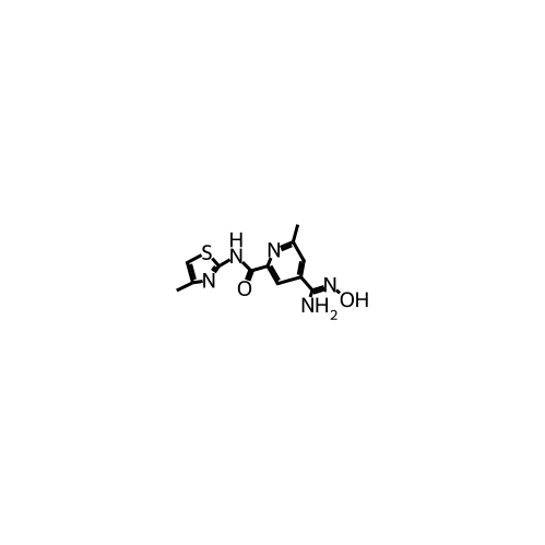 Cc1cc(C(N)=NO)cc(C(=O)Nc2nc(C)cs2)n1